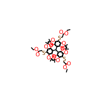 CCOC(=O)CSc1c2c(c([C](c3c4c(c(SCC(=O)OCC)c5c3OC(C)(C)O5)OC(C)(C)O4)c3c4c(c(SCC(=O)OCC)c5c3OC(C)(C)O5)OC(C)(C)O4)c3c1OC(C)(C)O3)OC(C)(C)O2